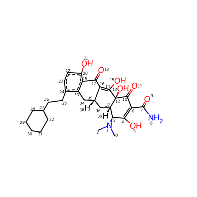 CN(C)[C@@H]1C(O)=C(C(N)=O)C(=O)[C@@]2(O)C(O)=C3C(=O)c4c(O)ccc(CCC5CCCCC5)c4C[C@H]3C[C@@H]12